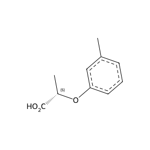 Cc1cccc(O[C@@H](C)C(=O)O)c1